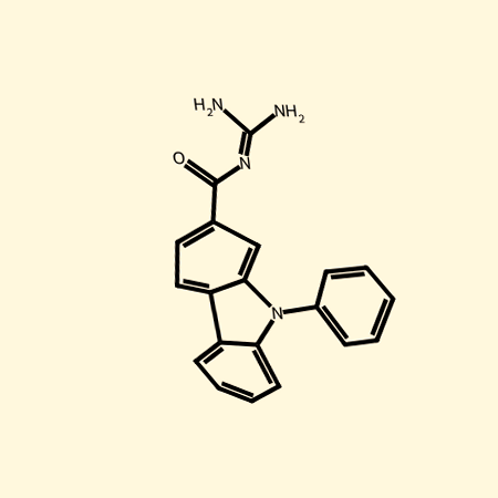 NC(N)=NC(=O)c1ccc2c3ccccc3n(-c3ccccc3)c2c1